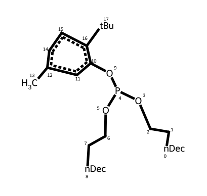 CCCCCCCCCCCCOP(OCCCCCCCCCCCC)Oc1cc(C)ccc1C(C)(C)C